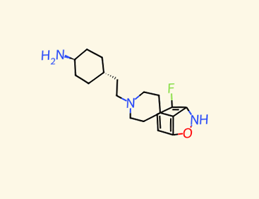 N[C@H]1CC[C@H](CCN2CCC(c3c4ccc(F)c3NO4)CC2)CC1